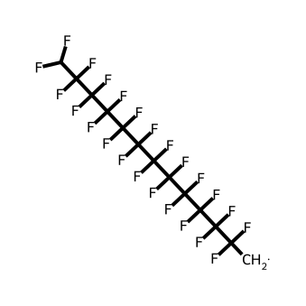 [CH2]C(F)(F)C(F)(F)C(F)(F)C(F)(F)C(F)(F)C(F)(F)C(F)(F)C(F)(F)C(F)(F)C(F)(F)C(F)(F)C(F)F